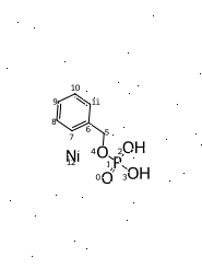 O=P(O)(O)OCc1ccccc1.[Ni]